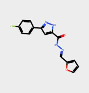 O=C(N/N=C/c1ccco1)c1cc(-c2ccc(F)cc2)n[nH]1